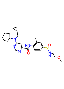 COCCN[S+]([O-])c1ccc(NC(=O)c2cc(N(CC3CC3)C3CCCCC3)ncn2)c(C)c1